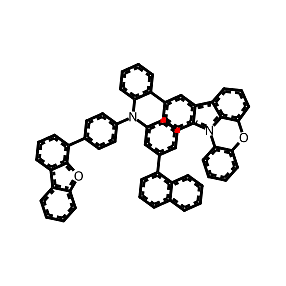 c1cc(-c2cccc3ccccc23)cc(N(c2ccc(-c3cccc4c3oc3ccccc34)cc2)c2ccccc2-c2ccc3c(c2)c2cccc4c2n3-c2ccccc2O4)c1